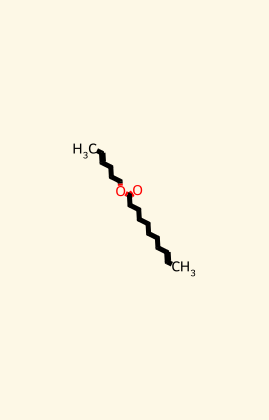 C/C=C/CCCCCCCC(=O)OCCC/C=C/C